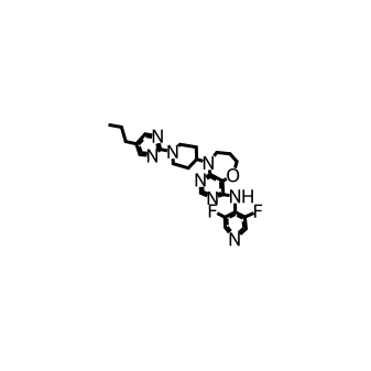 CCCc1cnc(N2CCC(N3CCCOc4c(Nc5c(F)cncc5F)ncnc43)CC2)nc1